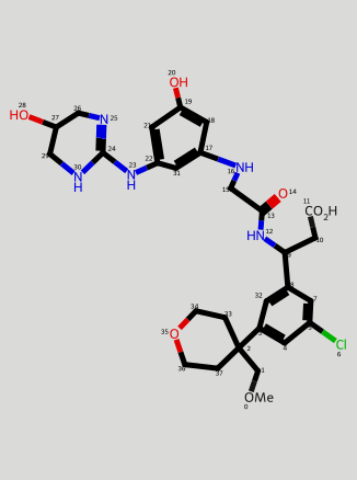 COCC1(c2cc(Cl)cc(C(CC(=O)O)NC(=O)CNc3cc(O)cc(NC4=NCC(O)CN4)c3)c2)CCOCC1